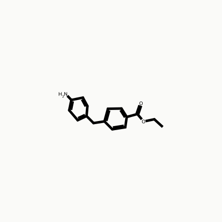 CCOC(=O)c1ccc(Cc2ccc(N)cc2)cc1